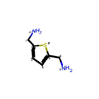 NCc1ccc(CN)s1